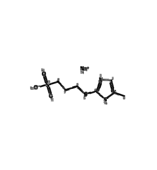 Cc1cnc(SCCCS(=O)(=O)[O-])s1.[Na+]